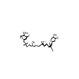 CC(C)(CCCC(O)CCCC(O)CCCC(C)(C)Cc1cc(=O)c(O)co1)Cc1cc(=O)c(O)co1